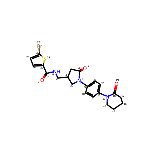 O=C(NCC1CC(=O)N(c2ccc(N3CCCCC3=O)cc2)C1)c1ccc(Br)s1